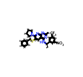 Cc1nc(N[C@H](C)c2cc([N+](=O)[O-])cc(C(F)(F)F)c2)c2cc(SCc3ccccc3)c(N3CCCC3)nc2n1